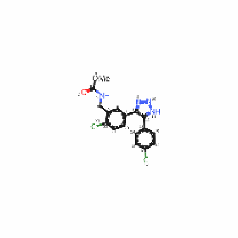 COC(=O)NCc1cc(-c2nn[nH]c2-c2ccc(Cl)cc2)ccc1Cl